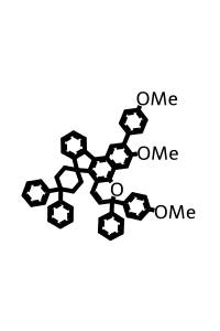 COc1ccc(-c2cc3c4c(c5c(c3cc2OC)OC(c2ccccc2)(c2ccc(OC)cc2)C=C5)C2(CCC(c3ccccc3)(c3ccccc3)CC2)c2ccccc2-4)cc1